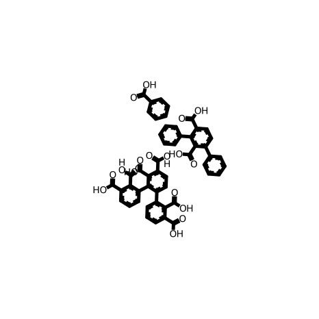 O=C(O)c1ccc(-c2ccccc2)c(C(=O)O)c1-c1ccccc1.O=C(O)c1cccc(-c2ccc(C(=O)O)c(C(=O)O)c2-c2cccc(C(=O)O)c2C(=O)O)c1C(=O)O.O=C(O)c1ccccc1